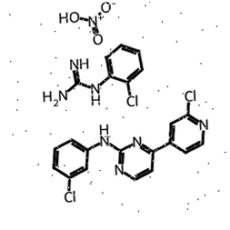 Clc1cccc(Nc2nccc(-c3ccnc(Cl)c3)n2)c1.N=C(N)Nc1ccccc1Cl.O=[N+]([O-])O